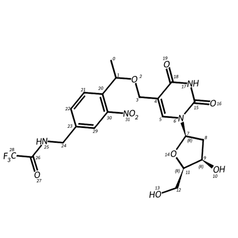 CC(OCc1cn([C@H]2C[C@@H](O)[C@@H](CO)O2)c(=O)[nH]c1=O)c1ccc(CNC(=O)C(F)(F)F)cc1[N+](=O)[O-]